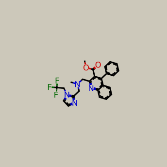 COC(=O)c1c(CN(C)Cc2nccn2CC(F)(F)F)nc2ccccc2c1-c1ccccc1